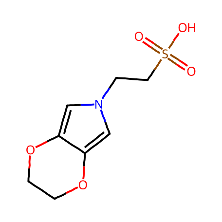 O=S(=O)(O)CCn1cc2c(c1)OCCO2